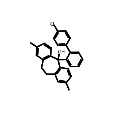 Cc1ccc2c(c1)CCc1cc(C)ccc1C2(O)c1ccccc1-c1ccc(Cl)cc1